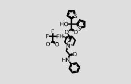 O=C(C[N+]12CCC(CC1)[C@@H](OC(=O)C(O)(c1cccs1)c1cccs1)C2)Nc1ccccc1.O=C([O-])C(F)(F)F